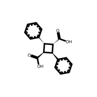 O=C(O)[C@H]1[C@H](c2ccccc2)[C@H](C(=O)O)[C@H]1c1ccccc1